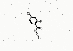 O=C=NC(=O)c1ccc(Cl)cc1F